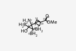 BC1(B)C(B)(O)C1(N)C12CC(C(=O)OC)(C1)C2